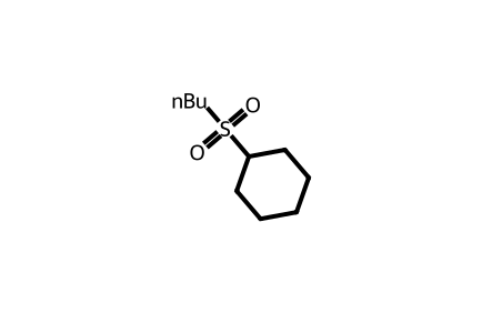 CCCCS(=O)(=O)C1CCCCC1